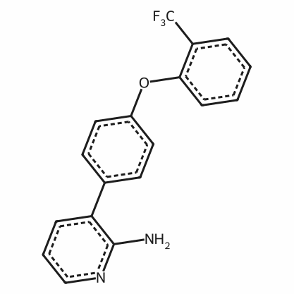 Nc1ncccc1-c1ccc(Oc2ccccc2C(F)(F)F)cc1